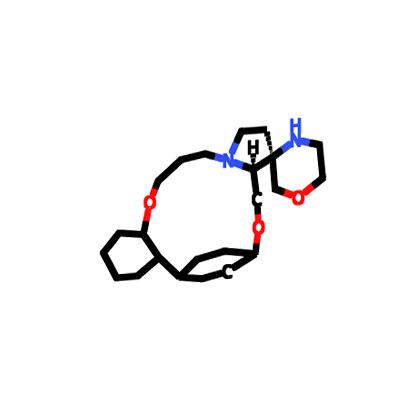 C1CCC2C3CCC(CC3)OC[C@H]3N(CCCOC2C1)CC[C@]31COCCN1